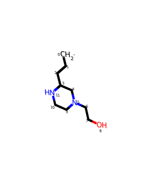 [CH2]CCC1CN(CCO)CCN1